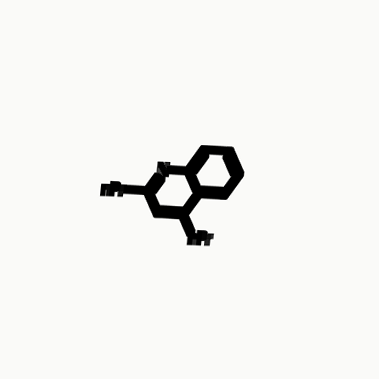 CCCc1cc(CCC)c2ccccc2n1